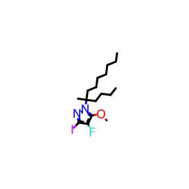 CCCCCCCC(C)(CCCC)n1nc(I)c(F)c1OC